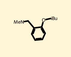 CCC(C)Oc1ccccc1CNC